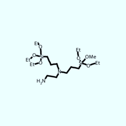 CCO[Si](CCCN(CCN)CCC[Si](OCC)(OCC)OCC)(OC)OCC